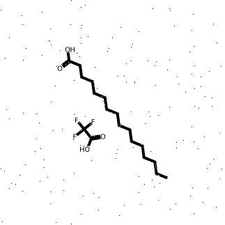 CCCCCCCCCCCCCCCC(=O)O.O=C(O)C(F)(F)F